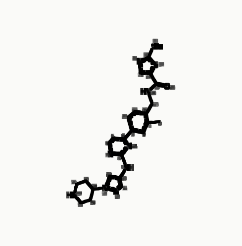 Cc1cc(-c2ccnc(Nc3cnn(C4CCNCC4)c3)n2)ccc1CNC(=O)c1cnc(C(C)(C)C)s1